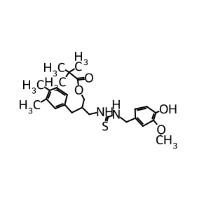 COc1cc(CNC(=S)NCC(COC(=O)C(C)(C)C)Cc2ccc(C)c(C)c2)ccc1O